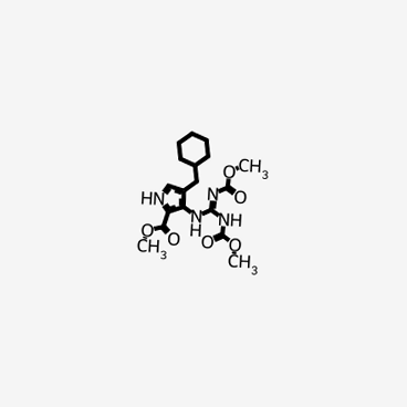 COC(=O)N=C(NC(=O)OC)Nc1c(CC2CCCCC2)c[nH]c1C(=O)OC